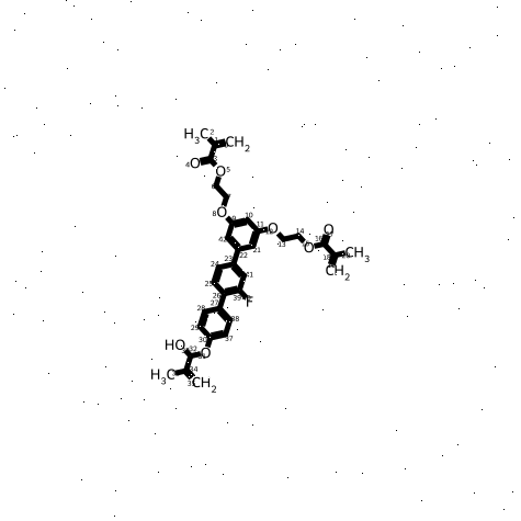 C=C(C)C(=O)OCCOc1cc(OCCOC(=O)C(=C)C)cc(-c2ccc(-c3ccc(OC(O)C(=C)C)cc3)c(F)c2)c1